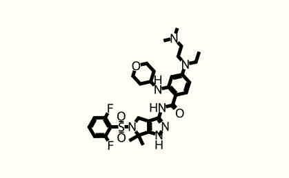 CCN(CCN(C)C)c1ccc(C(=O)Nc2n[nH]c3c2CN(S(=O)(=O)c2c(F)cccc2F)C3(C)C)c(NC2CCOCC2)c1